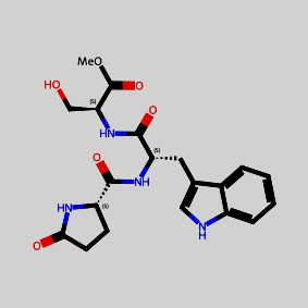 COC(=O)[C@H](CO)NC(=O)[C@H](Cc1c[nH]c2ccccc12)NC(=O)[C@@H]1CCC(=O)N1